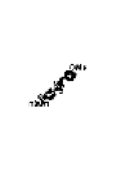 CCCCS(=O)(=O)N1CCN(c2nc(Cc3cccc(OC)c3)ns2)CC1